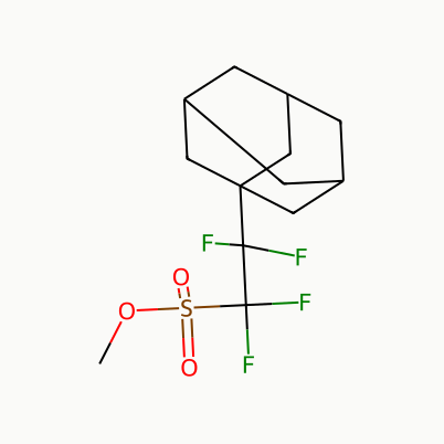 COS(=O)(=O)C(F)(F)C(F)(F)C12CC3CC(CC(C3)C1)C2